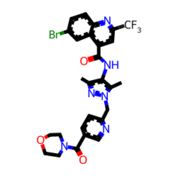 Cc1nn(Cc2ccc(C(=O)N3CCOCC3)cn2)c(C)c1NC(=O)c1cc(C(F)(F)F)nc2ccc(Br)cc12